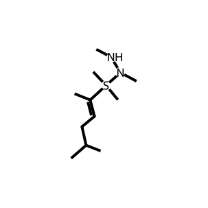 CNN(C)S(C)(C)C(C)=CCC(C)C